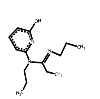 CCCN=C(CC)N(CCC)c1cccc(O)n1